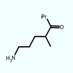 CC(C)C(=O)C(C)CCCN